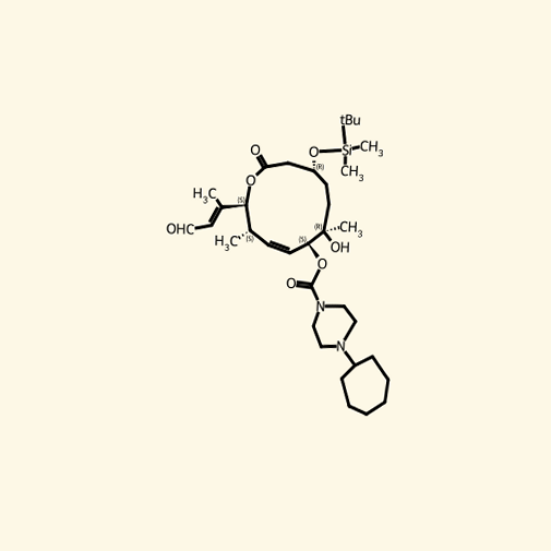 CC(=CC=O)[C@H]1OC(=O)C[C@H](O[Si](C)(C)C(C)(C)C)CC[C@@](C)(O)[C@@H](OC(=O)N2CCN(C3CCCCCC3)CC2)C=C[C@@H]1C